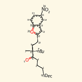 CCCCCCCCCCCCCC(=O)C(C)(CCCC)CCc1cc2cc([N+](=O)[O-])ccc2o1